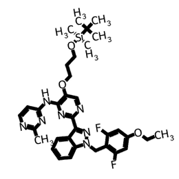 CCOc1cc(F)c(Cn2nc(-c3ncc(OCCCO[Si](C)(C)C(C)(C)C)c(Nc4ccnc(C)n4)n3)c3ccccc32)c(F)c1